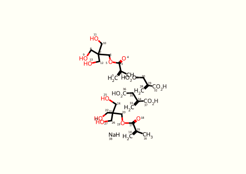 C=C(C)C(=O)OCC(CO)(CO)CO.C=C(C)C(=O)OCC(CO)(CO)CO.C=C(CC(=O)O)C(=O)O.C=C(CC(=O)O)C(=O)O.[NaH]